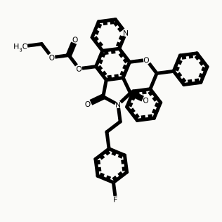 CCOC(=O)Oc1c2c(c(OC(c3ccccc3)c3ccccc3)c3ncccc13)C(=O)N(CCc1ccc(F)cc1)C2=O